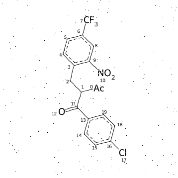 CC(=O)C(Cc1ccc(C(F)(F)F)cc1[N+](=O)[O-])C(=O)c1ccc(Cl)cc1